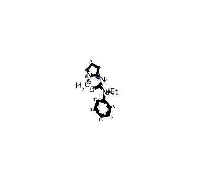 CCN(C(=O)/N=C1/CCCN1C)c1ccccc1